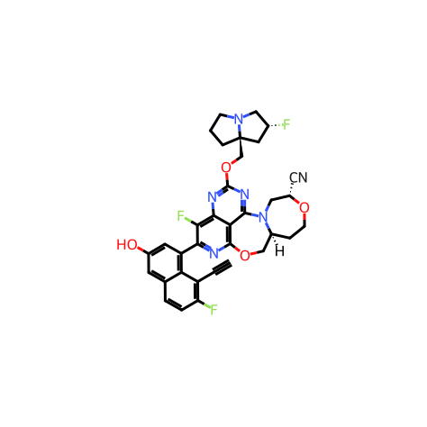 C#Cc1c(F)ccc2cc(O)cc(-c3nc4c5c(nc(OC[C@@]67CCCN6C[C@H](F)C7)nc5c3F)N3C[C@H](C#N)OCC[C@H]3CO4)c12